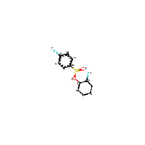 O=S(OC1CCCCC1F)c1ccc(F)cc1